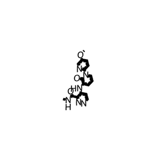 CNC(=O)c1nnccc1Nc1cccn(-c2ccc(OC)cn2)c1=O